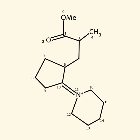 COC(=O)C(C)CC1CCCC1=[N+]1CCCCC1